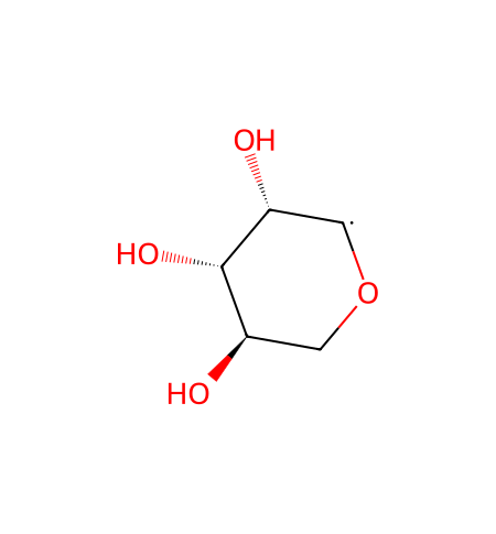 O[C@@H]1[C@H](O)[CH]OC[C@H]1O